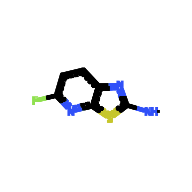 [NH]c1nc2ccc(F)nc2s1